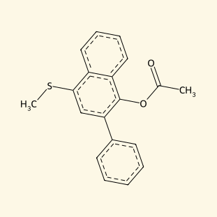 CSc1cc(-c2ccccc2)c(OC(C)=O)c2ccccc12